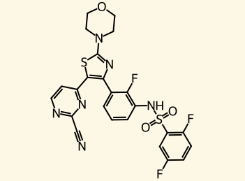 N#Cc1nccc(-c2sc(N3CCOCC3)nc2-c2cccc(NS(=O)(=O)c3cc(F)ccc3F)c2F)n1